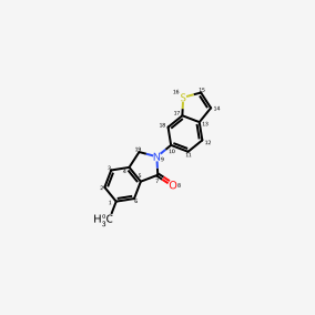 Cc1ccc2c(c1)C(=O)N(c1ccc3ccsc3c1)C2